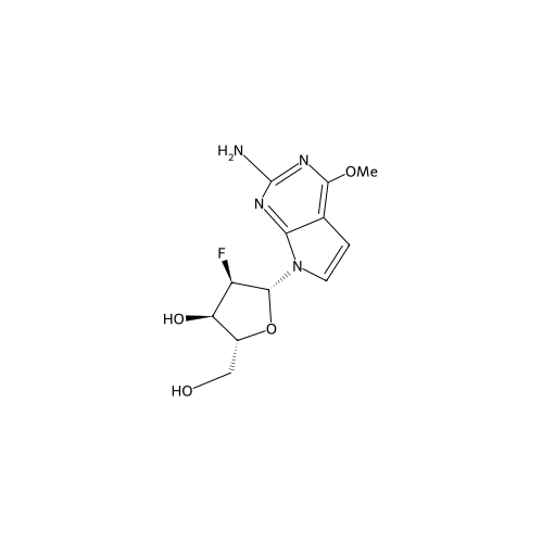 COc1nc(N)nc2c1ccn2[C@@H]1O[C@H](CO)[C@@H](O)[C@H]1F